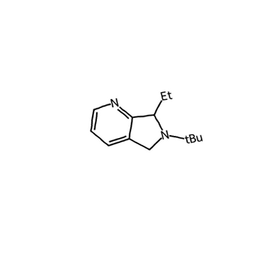 CCC1c2ncccc2CN1C(C)(C)C